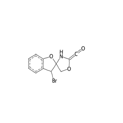 O=C=C1NC2(CO1)Oc1ccccc1C2Br